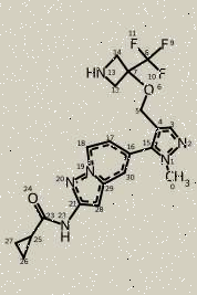 Cn1ncc(COC2(C(F)(F)F)CNC2)c1-c1ccn2nc(NC(=O)C3CC3)cc2c1